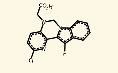 O=C(O)CN1Cn2c(c(F)c3ccccc32)-c2nc(Cl)ccc21